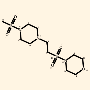 CS(=O)(=O)N1CCN(CCS(=O)(=O)N2CCOCC2)CC1